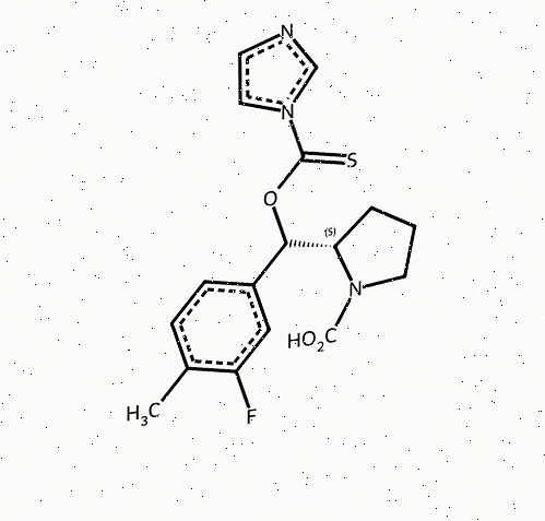 Cc1ccc(C(OC(=S)n2ccnc2)[C@@H]2CCCN2C(=O)O)cc1F